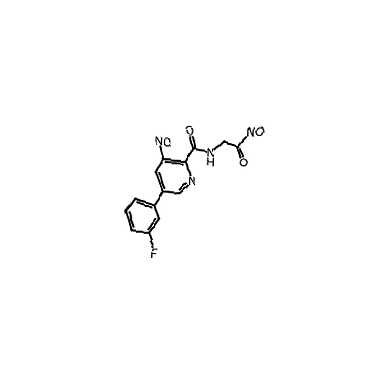 O=NC(=O)CNC(=O)c1ncc(-c2cccc(F)c2)cc1N=O